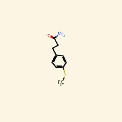 NC(=O)C[CH]c1ccc(SC(F)(F)F)cc1